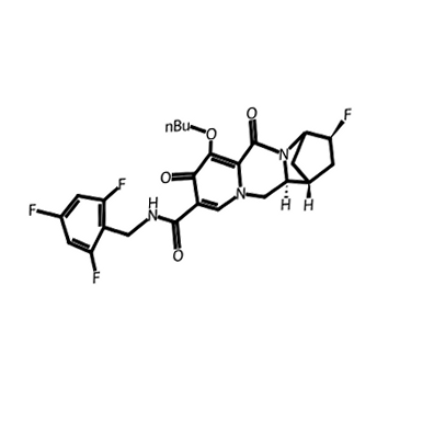 CCCCOc1c2n(cc(C(=O)NCc3c(F)cc(F)cc3F)c1=O)C[C@@H]1[C@@H]3CC([C@@H](F)C3)N1C2=O